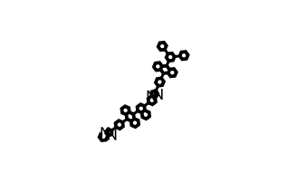 c1ccc(-c2cc(-c3ccccc3)cc(-c3c4ccccc4c(-c4ccc(-c5cn6cc(-c7ccc(-c8c9ccccc9c(-c9ccc(-c%10cn%11ccccc%11n%10)cc9)c9ccccc89)c8ccccc78)ccc6n5)cc4)c4ccccc34)c2)cc1